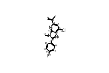 C=C(C)c1cc(Cl)c2nc(-c3ccc(F)cc3)n(C)c2n1